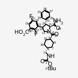 CC(C)(C)OC(=O)NC[C@H]1CC[C@H](C(=O)N2CC(c3cc(F)cc(C(=O)O)c3F)[C@H](c3ccccc3)[C@H]2C(N)=O)CC1